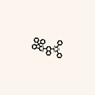 c1ccc(-c2nc(-c3ccccc3)nc(-c3ccc(-c4ncc5c(n4)C(c4ccccc4)(c4ccccc4)c4ccccc4-5)c4ccccc34)n2)cc1